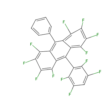 Fc1cc(F)c(F)c(-c2c3c(F)c(F)c(F)c(F)c3c(-c3ccccc3)c3c(F)c(F)c(F)c(F)c23)c1F